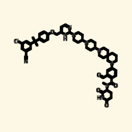 CN(C(=O)c1ccc(N2CCCC3(CCN(C4CCN(C5CCN(C6N=CC=C(COc7ccc(C(C)(C)c8cc(Cl)cc(C#N)c8)cc7)N6)CC5)CC4)CC3)C2)cc1C=O)C1CCC(=O)NC1=O